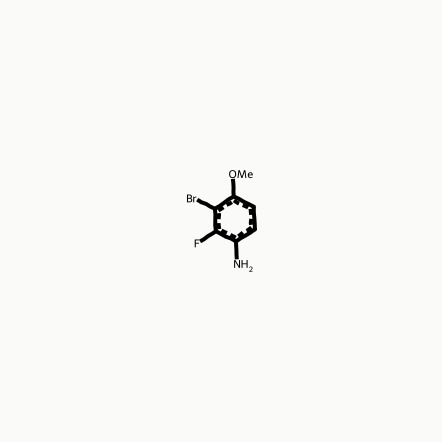 COc1ccc(N)c(F)c1Br